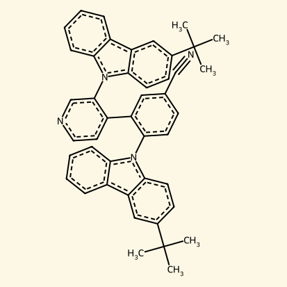 CC(C)(C)c1ccc2c(c1)c1ccccc1n2-c1ccc(C#N)cc1-c1ccncc1-n1c2ccccc2c2cc(C(C)(C)C)ccc21